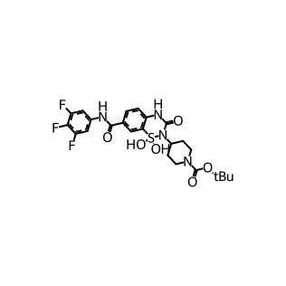 CC(C)(C)OC(=O)N1CCC(N2C(=O)Nc3ccc(C(=O)Nc4cc(F)c(F)c(F)c4)cc3S2(O)O)CC1